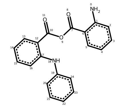 Nc1ccccc1C(=O)OC(=O)c1ccccc1Nc1ccccc1